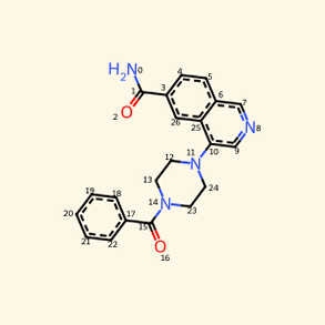 NC(=O)c1ccc2cncc(N3CCN(C(=O)c4ccccc4)CC3)c2c1